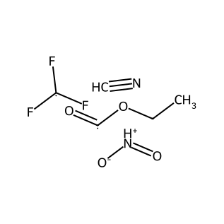 C#N.CCO[C]=O.F[C](F)F.O=[NH+][O-]